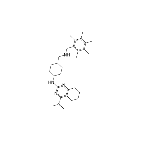 Cc1c(C)c(C)c(CNC[C@H]2CC[C@@H](Nc3nc4c(c(N(C)C)n3)CCCC4)CC2)c(C)c1C